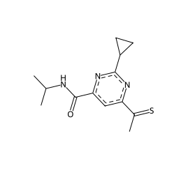 CC(=S)c1cc(C(=O)NC(C)C)nc(C2CC2)n1